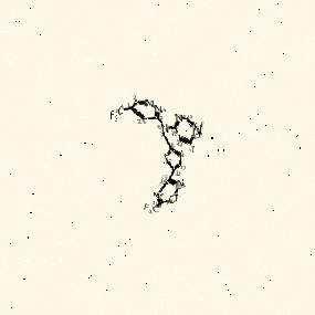 FC(F)(F)c1cnnc(N(Cc2ccc(-c3noc(C(F)(F)F)n3)s2)c2ccncn2)c1